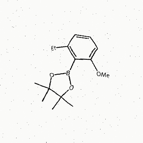 CCc1cccc(OC)c1B1OC(C)(C)C(C)(C)O1